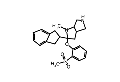 CN1C2CNCC2CC1(Oc1ccccc1S(C)(=O)=O)C1Cc2ccccc2C1